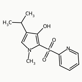 CC(C)c1cn(C)c(S(=O)(=O)c2ccccn2)c1O